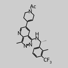 CC(=O)N1CC=C(c2cnc3c(C)nnc(N[C@H](C)c4cccc(C(F)(F)F)c4C)c3c2)CC1